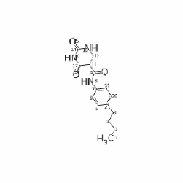 CCCCc1ccc(NC(=O)C2CNC(=O)NC2=O)cc1